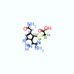 NC(=O)Cc1cc2n[nH]nc3c-2c1CSN=C3N.O=C(O)C(F)(F)F